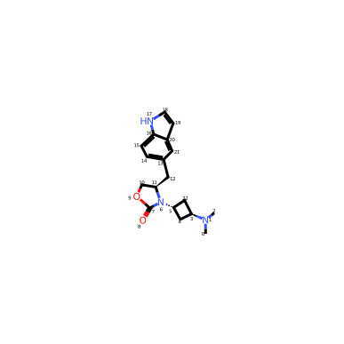 CN(C)[C@H]1C[C@H](N2C(=O)OC[C@H]2Cc2ccc3[nH]ccc3c2)C1